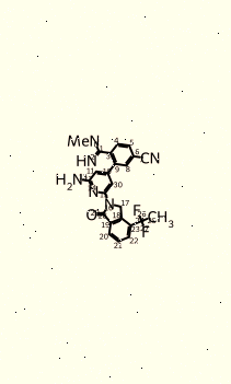 CNC(=N)c1ccc(C#N)cc1-c1cc(N)nc(N2Cc3c(cccc3C(C)(F)F)C2=O)c1